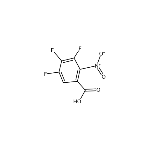 O=C(O)c1cc(F)c(F)c(F)c1[N+](=O)[O-]